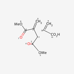 C=C(CC(=O)OC)C(=O)OC.C=CC(=O)O